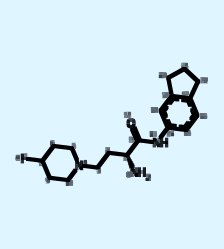 N[C@@H](CCN1CCC(F)CC1)C(=O)Nc1ccc2c(c1)CCC2